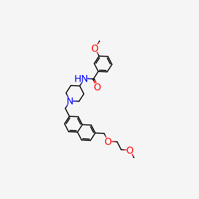 COCCOCc1ccc2ccc(CN3CCC(NC(=O)c4cccc(OC)c4)CC3)cc2c1